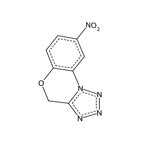 O=[N+]([O-])c1ccc2c(c1)-n1nnnc1CO2